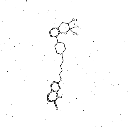 CC1(C)Oc2c(cccc2N2CCN(CCCCOc3ccc4ccc(=O)[nH]c4n3)CC2)CC1O